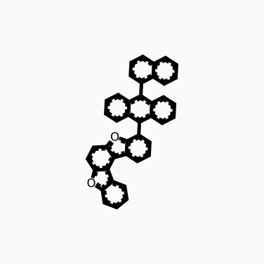 c1ccc2c(-c3c4ccccc4c(-c4cccc5c4oc4ccc6oc7ccccc7c6c45)c4ccccc34)cccc2c1